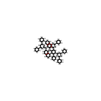 c1ccc(-c2cc(-c3cc(-c4nc(-c5ccccc5)nc(-c5ccccc5)n4)c(N4c5ccccc5N(c5nc(-c6ccccc6)cc(-c6ccccc6)n5)c5ccccc54)c(-c4ccccc4)c3-c3ccccc3)nc(-c3ccccc3)n2)cc1